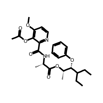 CCC(CC)[C@@H](Oc1ccccc1)[C@H](C)OC(=O)[C@H](C)NC(=O)c1nccc(OC)c1OC(C)=O